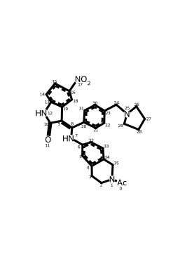 CC(=O)N1CCc2cc(NC(=C3C(=O)Nc4ccc([N+](=O)[O-])cc43)c3ccc(CN4CCCC4)cc3)ccc2C1